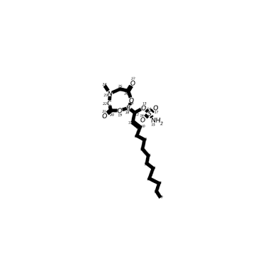 CCCCCCCCCCC=CC(OS(N)(=O)=O)B1OC(=O)CN(C)CC(=O)O1